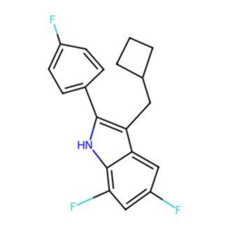 Fc1ccc(-c2[nH]c3c(F)cc(F)cc3c2CC2CCC2)cc1